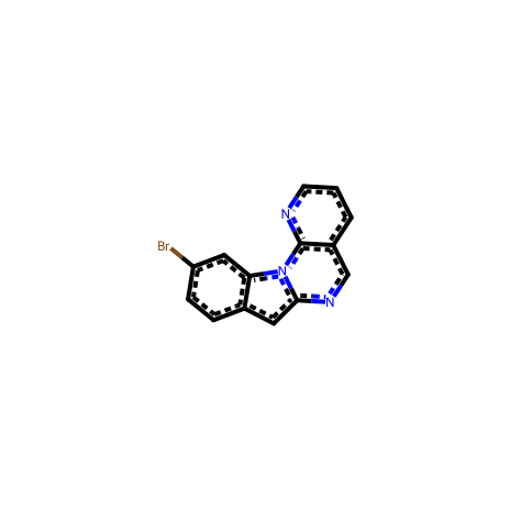 Brc1ccc2cc3ncc4cccnc4n3c2c1